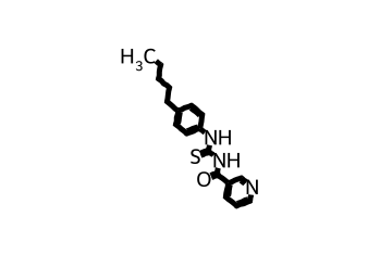 CCCCCc1ccc(NC(=S)NC(=O)c2cccnc2)cc1